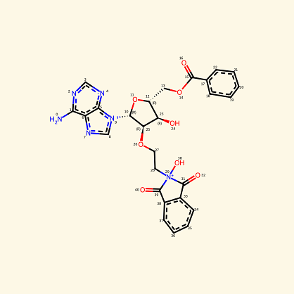 Nc1ncnc2c1ncn2[C@@H]1O[C@H](COC(=O)c2ccccc2)[C@@H](O)[C@H]1OCC[N+]1(O)C(=O)c2ccccc2C1=O